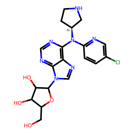 OCC1OC(n2cnc3c(N(c4ccc(Cl)cn4)[C@H]4CCNC4)ncnc32)C(O)C1O